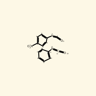 O=C=Nc1ccc([N+](=O)[O-])cc1.O=C=Nc1ccccc1